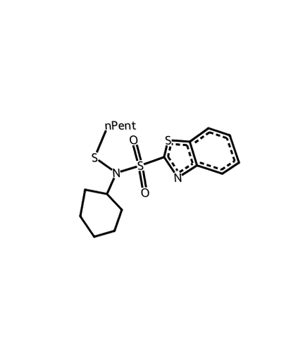 CCCCCSN(C1CCCCC1)S(=O)(=O)c1nc2ccccc2s1